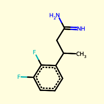 CC(CC(=N)N)c1cccc(F)c1F